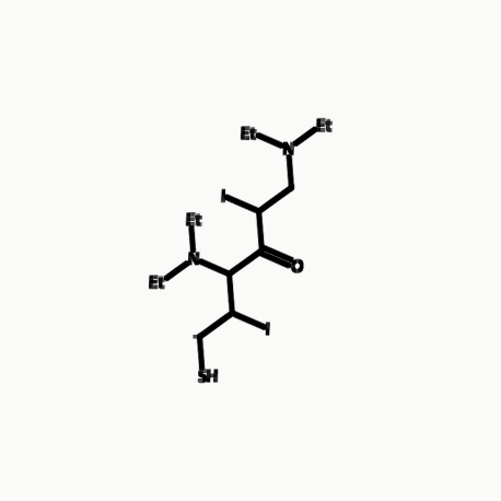 CCN(CC)CC(I)C(=O)C(C(I)[CH]S)N(CC)CC